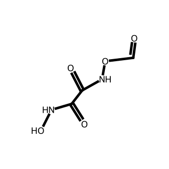 O=CONC(=O)C(=O)NO